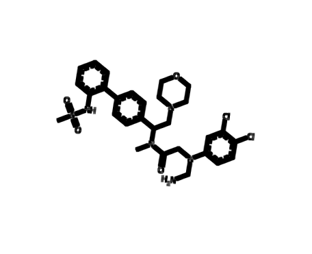 CN(C(=O)CN(CN)c1ccc(Cl)c(Cl)c1)C(CN1CCOCC1)c1ccc(-c2ccccc2NS(C)(=O)=O)cc1